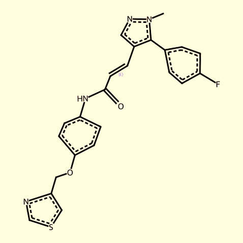 Cn1ncc(/C=C/C(=O)Nc2ccc(OCc3cscn3)cc2)c1-c1ccc(F)cc1